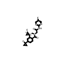 O=C(CN1C[C@@]2(C[C@@H]2F)c2cc(C3(F)CC3)ccc2C1=O)Nc1ncc(F)cn1